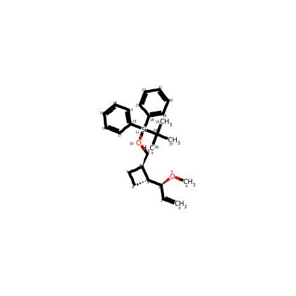 C=C[C@H](OC)[C@@H]1CC[C@H]1CO[Si](c1ccccc1)(c1ccccc1)C(C)(C)C